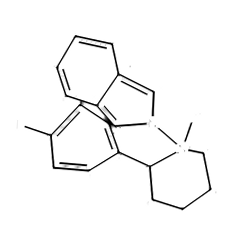 Fc1ccc(C2CCCC[N+]2(Br)n2cc3ccccc3c2)cc1